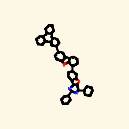 c1ccc(-c2nc(-c3ccccc3)c3oc4cc(-c5cccc6c5oc5ccc(-c7ccc8c9ccccc9c9ccccc9c8c7)cc56)ccc4c3n2)cc1